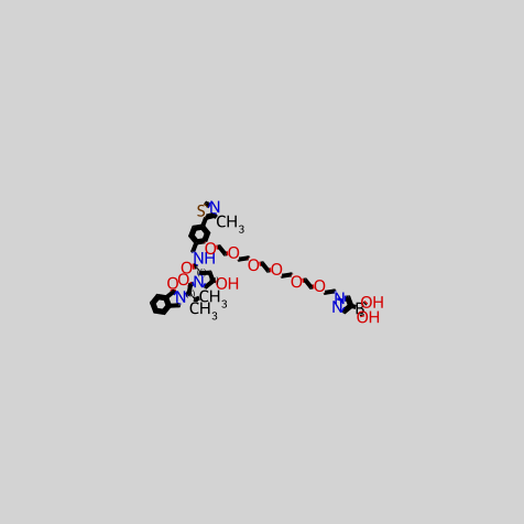 Cc1ncsc1-c1ccc(CNC(=O)[C@@H]2C[C@@H](O)CN2C(=O)[C@H](C(C)C)N2Cc3ccccc3C2=O)c(OCCOCCOCCOCCOCCOCCn2cc(B(O)O)cn2)c1